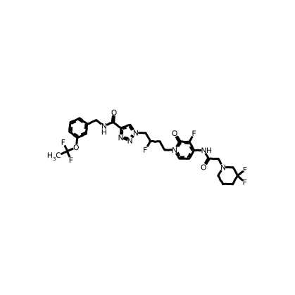 CC(F)(F)Oc1cccc(CNC(=O)c2cn(CC(F)CCn3ccc(NC(=O)CN4CCCC(F)(F)C4)c(F)c3=O)nn2)c1